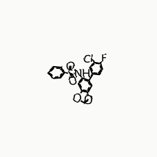 O=S(=O)(Nc1cc2c(cc1-c1ccc(F)c(Cl)c1)OCO2)c1ccccc1